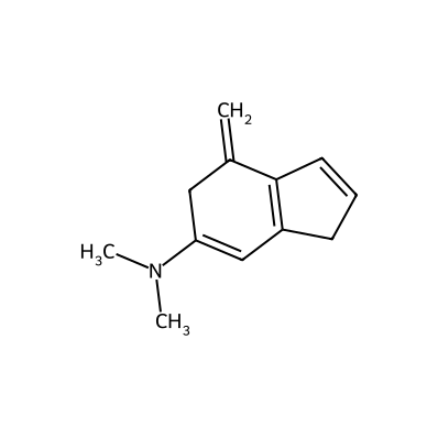 C=C1CC(N(C)C)=CC2=C1C=CC2